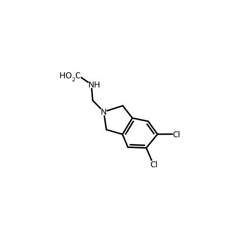 O=C(O)NCN1Cc2cc(Cl)c(Cl)cc2C1